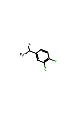 CC(C)C(c1ccc(F)c(Cl)c1)C(F)(F)F